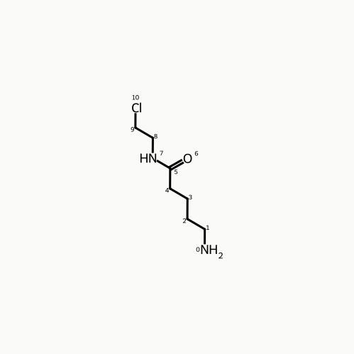 NCCCCC(=O)NCCCl